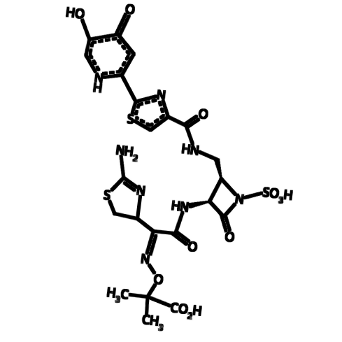 CC(C)(O/N=C(\C(=O)N[C@@H]1C(=O)N(S(=O)(=O)O)[C@@H]1CNC(=O)c1csc(-c2cc(=O)c(O)c[nH]2)n1)C1CSC(N)=N1)C(=O)O